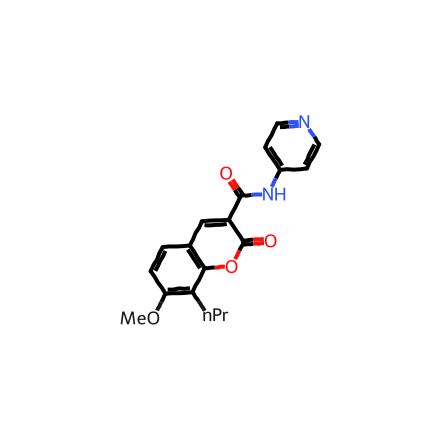 CCCc1c(OC)ccc2cc(C(=O)Nc3ccncc3)c(=O)oc12